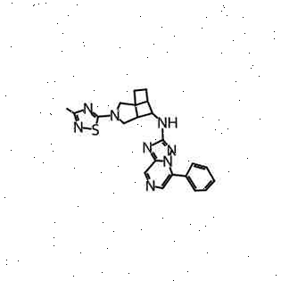 Cc1nsc(N2CC3C(Nc4nc5cncc(-c6ccccc6)n5n4)C4CCC43C2)n1